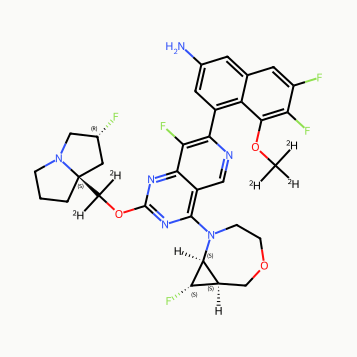 [2H]C([2H])([2H])Oc1c(F)c(F)cc2cc(N)cc(-c3ncc4c(N5CCOC[C@H]6[C@H](F)[C@H]65)nc(OC([2H])([2H])[C@@]56CCCN5C[C@H](F)C6)nc4c3F)c12